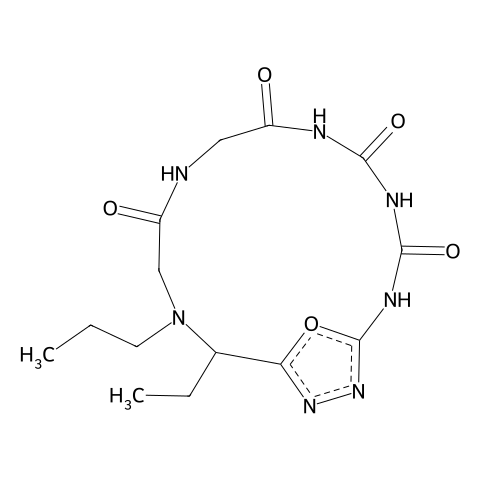 CCCN1CC(=O)NCC(=O)NC(=O)NC(=O)Nc2nnc(o2)C1CC